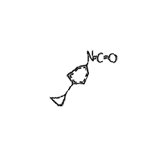 O=C=Nc1ccc(C2CC2)cc1